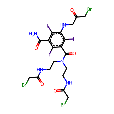 NC(=O)c1c(I)c(NCC(=O)CBr)c(I)c(C(=O)N(CCNC(=O)CBr)CCNC(=O)CBr)c1I